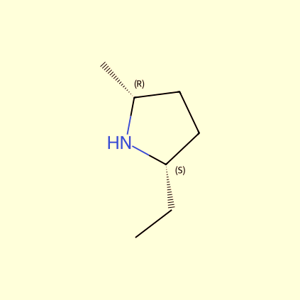 CC[C@H]1CC[C@@H](C)N1